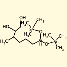 C[C](CCC[SiH](O[Si](C)(C)C)O[Si](C)(C)C)C(O)CO